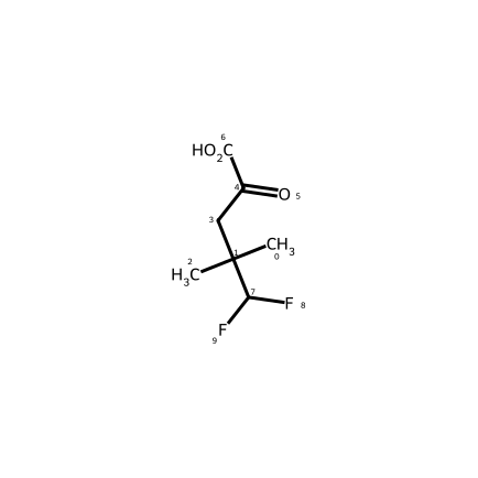 CC(C)(CC(=O)C(=O)O)C(F)F